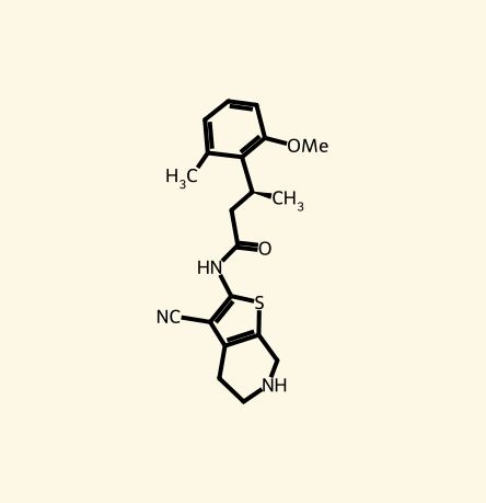 COc1cccc(C)c1[C@@H](C)CC(=O)Nc1sc2c(c1C#N)CCNC2